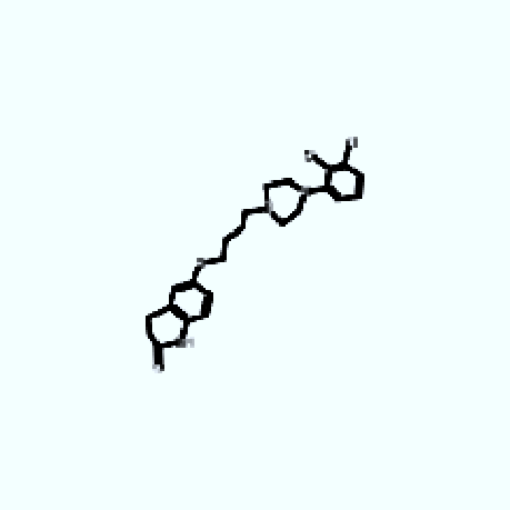 O=C1CCc2cc(OCCCCN3CCN(c4cccc(Cl)c4Cl)CC3)ccc2N1